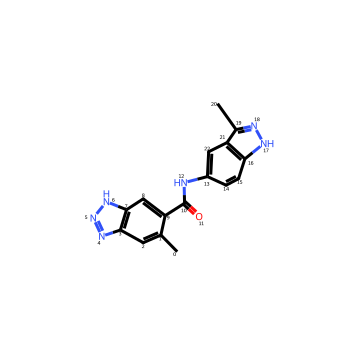 Cc1cc2nn[nH]c2cc1C(=O)Nc1ccc2[nH]nc(C)c2c1